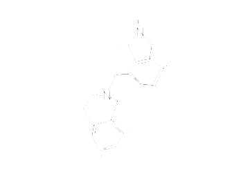 CN1Cc2cccc(CN3CCc4ccccc4C3)c2C1